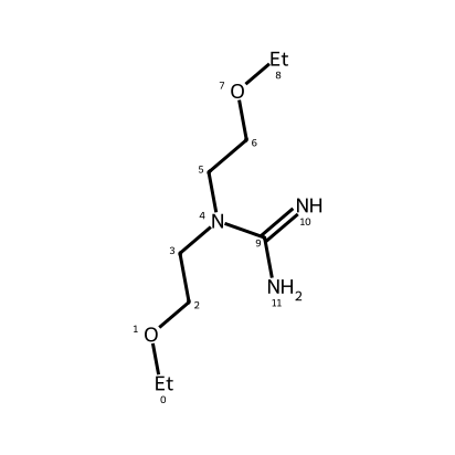 CCOCCN(CCOCC)C(=N)N